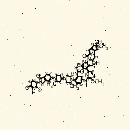 C=CC(=O)Nc1cc(Nc2nc(-c3ccnc(N4CCn5c(cc6c5CC(C)(C)C6)C4=O)c3CO)cnc2OC)ccc1N1CCN(C2CCN(c3ccc4c(c3)CN(C3CCC(=O)NC3=O)C4=O)[C@@H](C)C2)C[C@@H]1C